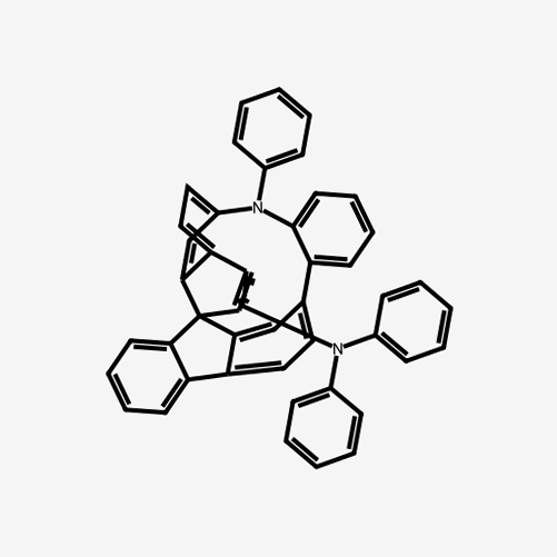 c1ccc(N(c2ccccc2)c2ccc3c(c2)C24c5ccccc5-c5ccc(cc52)-c2ccccc2N(c2ccccc2)c2ccc-3c4c2)cc1